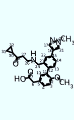 COc1ccc(CC(=O)O)cc1-c1ccc(-c2cnn(C)c2)cc1CNCCC(=O)C1CC1